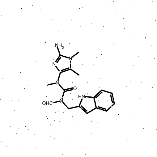 Cc1c(N(C)C(=O)N(C=O)Cc2cc3ccccc3[nH]2)nc(N)n1C